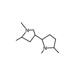 CC1CC(C2CCC(C)N2C)CN1C